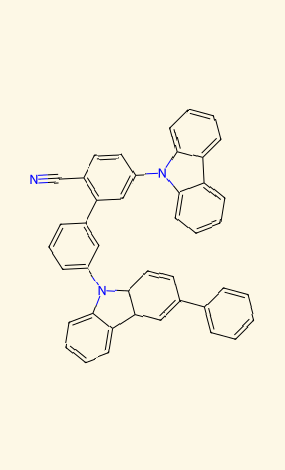 N#Cc1ccc(-n2c3ccccc3c3ccccc32)cc1-c1cccc(N2c3ccccc3C3C=C(c4ccccc4)C=CC32)c1